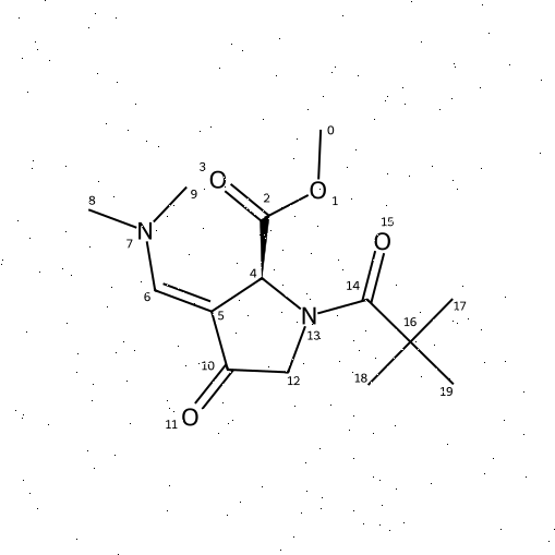 COC(=O)[C@@H]1/C(=C\N(C)C)C(=O)CN1C(=O)C(C)(C)C